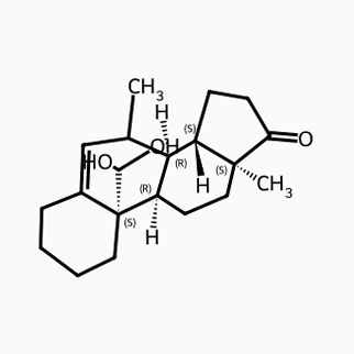 CC1C=C2CCCC[C@]2(C(O)O)[C@@H]2CC[C@]3(C)C(=O)CC[C@H]3[C@H]12